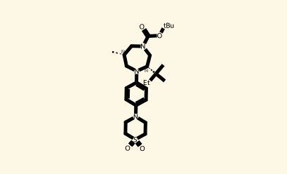 CCC(C)(C)[C@H]1CN(C(=O)OC(C)(C)C)C[C@@H](C)CN1c1ccc(N2CCS(=O)(=O)CC2)cc1